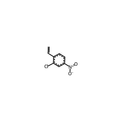 C=Cc1ccc([N+](=O)[O-])cc1Cl